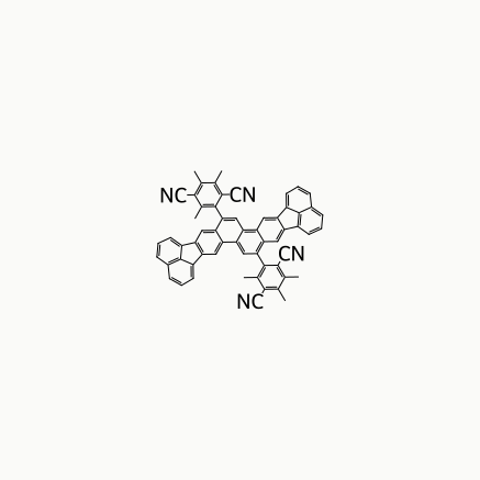 Cc1c(C)c(C#N)c(-c2cc3c4cc5c(cc4c(-c4c(C)c(C#N)c(C)c(C)c4C#N)cc3c3cc4c(cc23)-c2cccc3cccc-4c23)-c2cccc3cccc-5c23)c(C)c1C#N